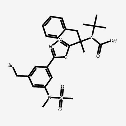 CN(c1cc(CBr)cc(-c2nnc(C(C)(Cc3ccccc3)N(C(=O)O)C(C)(C)C)o2)c1)S(C)(=O)=O